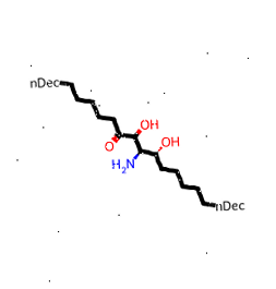 CCCCCCCCCCCCCCCC(=O)C(O)[C@H](N)[C@H](O)CCCCCCCCCCCCCCC